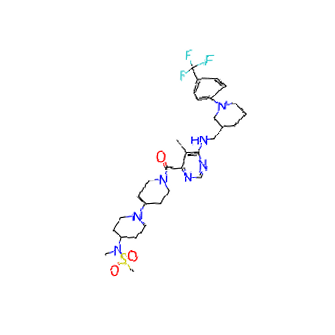 Cc1c(NCC2CCCN(c3ccc(C(F)(F)F)cc3)C2)ncnc1C(=O)N1CCC(N2CCC(N(C)S(C)(=O)=O)CC2)CC1